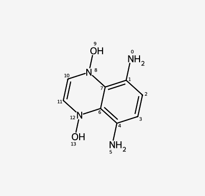 Nc1ccc(N)c2c1N(O)C=CN2O